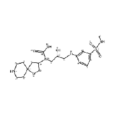 CNS(=O)(=O)c1cccc(OCC(O)CN(C(=O)O)C2COC3(CCNCC3)C2)c1